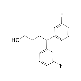 OCCCC(c1cccc(F)c1)c1cccc(F)c1